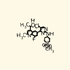 Cc1cc(C(C)O)c2cc(-c3nc(NC4CCN(S(C)(=O)=O)CC4)ncc3Cl)cc(F)c2n1